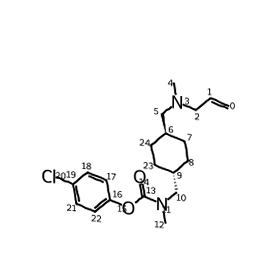 C=CCN(C)C[C@H]1CC[C@H](CN(C)C(=O)Oc2ccc(Cl)cc2)CC1